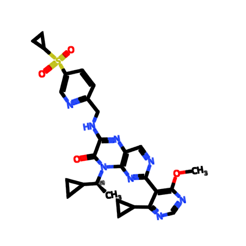 COc1ncnc(C2CC2)c1-c1ncc2nc(NCc3ccc(S(=O)(=O)C4CC4)cn3)c(=O)n([C@@H](C)C3CC3)c2n1